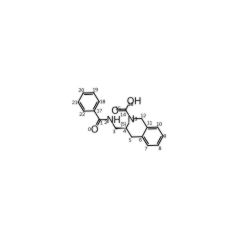 O=C(NC[C@@H]1Cc2ccccc2CN1C(=O)O)c1ccccc1